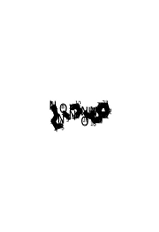 N#CC1CCCN1C(=O)CN1CCC(NC(=O)c2ccc3ccccc3n2)C1